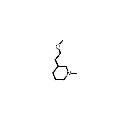 COCCC1[C]N(C)CCC1